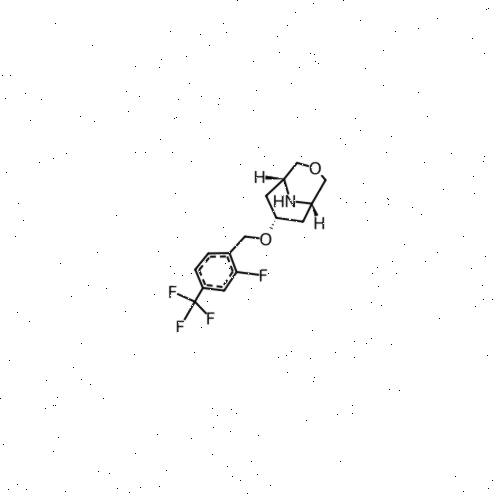 Fc1cc(C(F)(F)F)ccc1CO[C@H]1C[C@H]2COC[C@@H](C1)N2